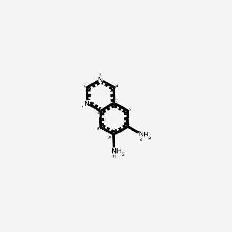 Nc1cc2cncnc2cc1N